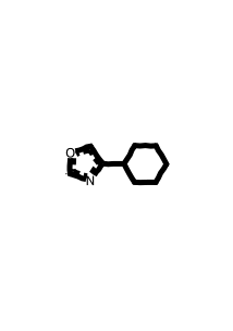 [c]1nc(C2CCCCC2)co1